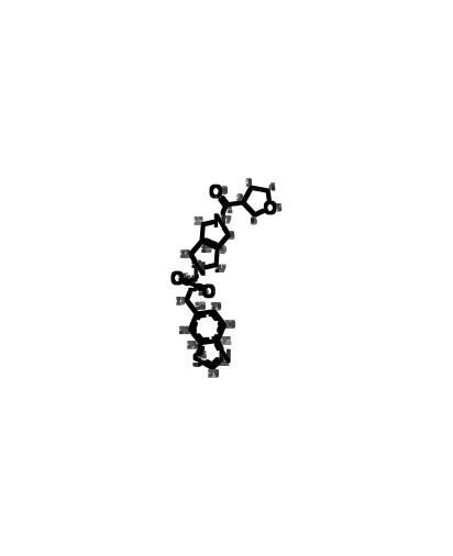 O=C(C1CCOC1)N1CC2=C(C1)CN(S(=O)(=O)Cc1ccc3ncsc3c1)C2